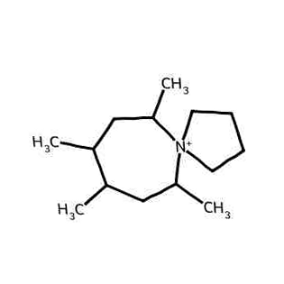 CC1CC(C)[N+]2(CCCC2)C(C)CC1C